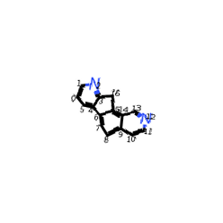 c1cnc2c(c1)-c1ccc3ccncc3c1C2